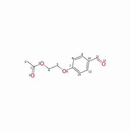 CC(=O)OCCOc1ccc(C=O)cc1